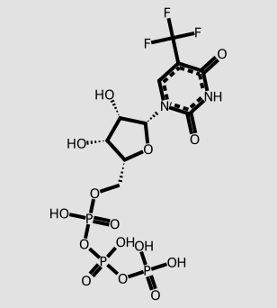 O=c1[nH]c(=O)n([C@@H]2O[C@H](COP(=O)(O)OP(=O)(O)OP(=O)(O)O)[C@H](O)[C@@H]2O)cc1C(F)(F)F